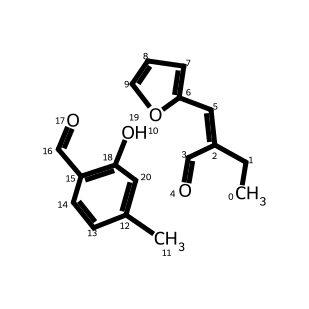 CCC(C=O)=Cc1ccco1.Cc1ccc(C=O)c(O)c1